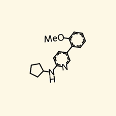 COc1ccccc1-c1ccc(NC2CCCC2)nc1